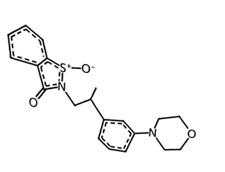 CC(Cn1c(=O)c2ccccc2[s+]1[O-])c1cccc(N2CCOCC2)c1